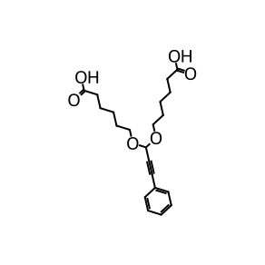 O=C(O)CCCCCOC(C#Cc1ccccc1)OCCCCCC(=O)O